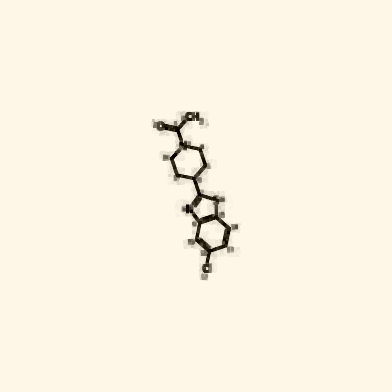 CC(=O)N1CCC(c2nc3cc(Cl)ccc3s2)CC1